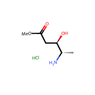 COC(=O)C[C@@H](O)[C@H](C)N.Cl